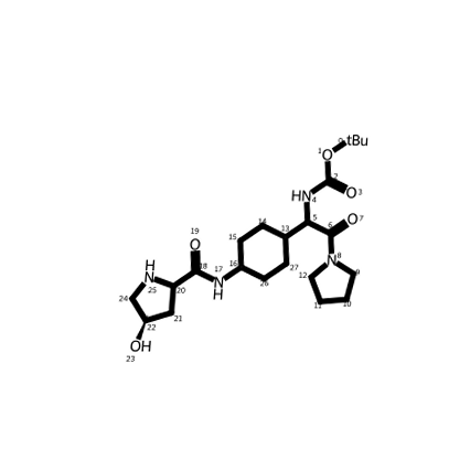 CC(C)(C)OC(=O)NC(C(=O)N1CCCC1)C1CCC(NC(=O)C2C[C@@H](O)CN2)CC1